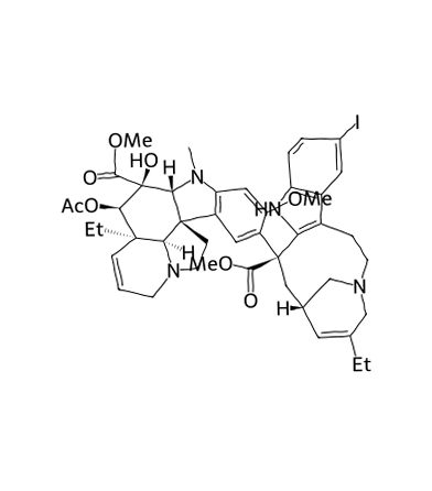 CCC1=C[C@H]2CN(CCc3c([nH]c4ccc(I)cc34)[C@@](C(=O)OC)(c3cc4c(cc3OC)N(C)[C@H]3[C@@](O)(C(=O)OC)[C@H](OC(C)=O)[C@]5(CC)C=CCN6CC[C@]43[C@@H]65)C2)C1